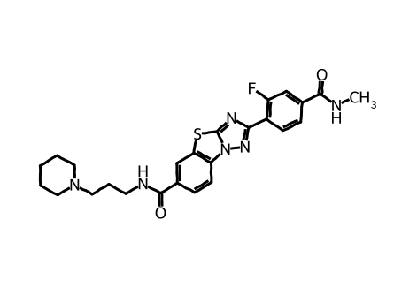 CNC(=O)c1ccc(-c2nc3sc4cc(C(=O)NCCCN5CCCCC5)ccc4n3n2)c(F)c1